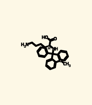 COc1ccccc1C(N[C@@H](CCCCN)C(=O)O)(c1ccccc1)c1ccccc1